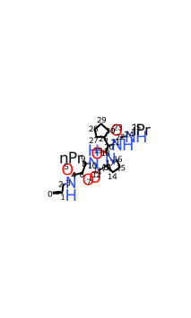 C=CCNC(=O)C(=O)C(CCC)NC(=O)[C@@H]1CCCN1C(=O)C(NC(=O)NC(C)C)C1CCCC1